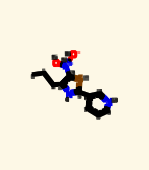 CCCc1nc(-c2cccnc2)sc1[N+](=O)[O-]